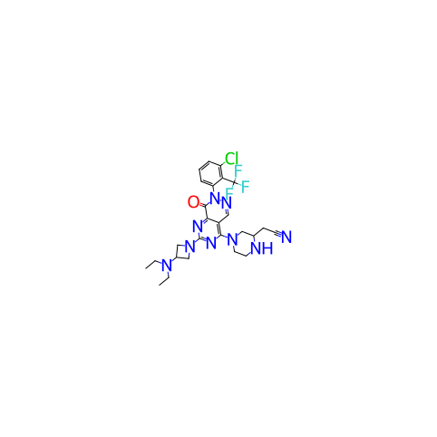 CCN(CC)C1CN(c2nc(N3CCNC(CC#N)C3)c3cnn(-c4cccc(Cl)c4C(F)(F)F)c(=O)c3n2)C1